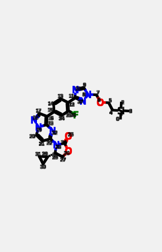 C[Si](C)(C)CCOCn1cnc(-c2ccc(-c3cnn4ccc(N5C(=O)OC[C@@H]5C5CC5)nc34)cc2F)n1